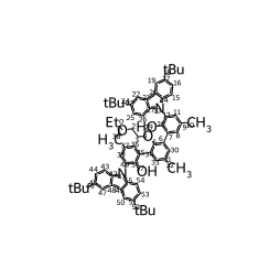 CCOCCOc1c(-c2cc(C)cc(-n3c4ccc(C(C)(C)C)cc4c4cc(C(C)(C)C)ccc43)c2O)cc(C)cc1-c1cc(C)cc(-n2c3ccc(C(C)(C)C)cc3c3cc(C(C)(C)C)ccc32)c1O